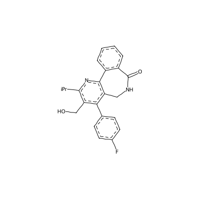 CC(C)c1nc2c(c(-c3ccc(F)cc3)c1CO)CNC(=O)c1ccccc1-2